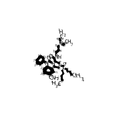 CCCCCN(CCCCC)C(=O)N1CCN(C(=O)N(c2ccccc2)c2ccc(O)cc2)C(C(=O)NCCCN(CC)CC)C1